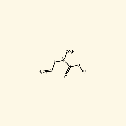 C=CCN(C(=O)O)C(=O)OC(C)(C)C